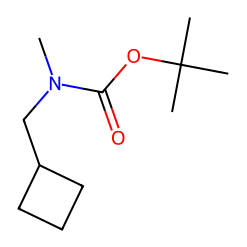 CN(CC1CCC1)C(=O)OC(C)(C)C